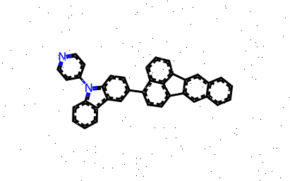 c1ccc2cc3c(cc2c1)-c1cccc2c(-c4ccc5c(c4)c4ccccc4n5-c4ccncc4)ccc-3c12